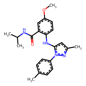 COc1ccc(Nc2cc(C)nn2-c2ccc(C)cc2)c(C(=O)NC(C)C)c1